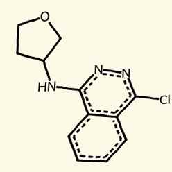 Clc1nnc(NC2CCOC2)c2ccccc12